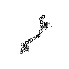 Nc1ncnc2c1c(-c1ccc(Oc3ccccc3)cc1)nn2C1CCN(C2CCN(C3CN(C4CCN(c5ccc6c(c5)C(=O)N(C5CCC(=O)NC5=O)C6=O)CC4)C3)C2)CC1